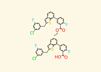 CCOC(=O)c1cc(-c2cccc3cc(Cc4cc(F)cc(Cl)c4)sc23)ccc1F.O=C(O)c1cc(-c2cccc3cc(Cc4cc(F)cc(Cl)c4)sc23)ccc1F